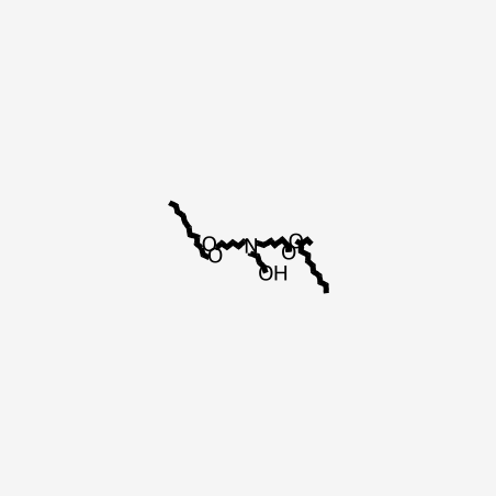 CCCCCCCCCC(CC)OC(=O)CCCCCN(CCCCO)CCCCCC(=O)OC(CC)CCCCCCCCC